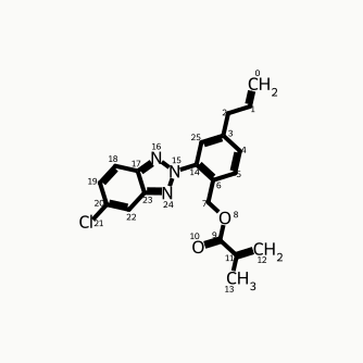 C=CCc1ccc(COC(=O)C(=C)C)c(-n2nc3ccc(Cl)cc3n2)c1